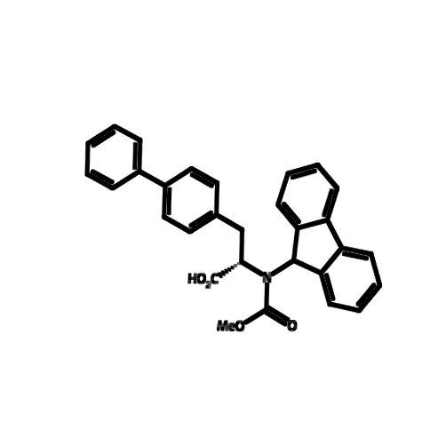 COC(=O)N(C1c2ccccc2-c2ccccc21)[C@@H](Cc1ccc(-c2ccccc2)cc1)C(=O)O